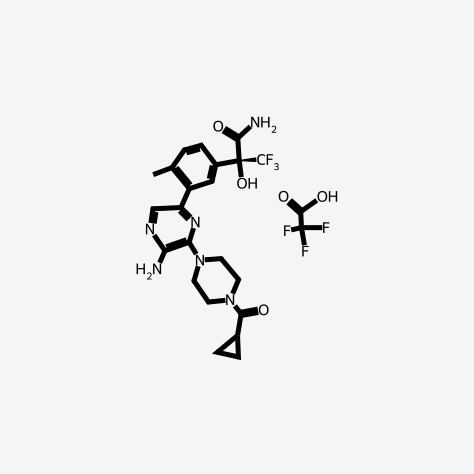 Cc1ccc([C@@](O)(C(N)=O)C(F)(F)F)cc1-c1cnc(N)c(N2CCN(C(=O)C3CC3)CC2)n1.O=C(O)C(F)(F)F